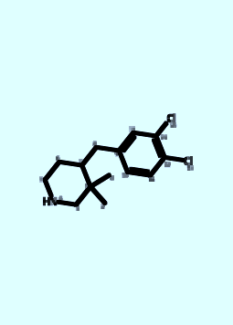 CC1(C)CNCCC1Cc1ccc(Cl)c(Cl)c1